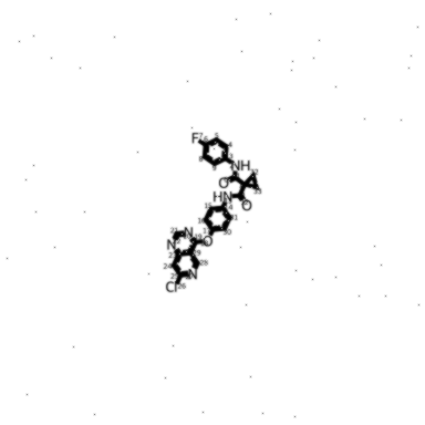 O=C(Nc1ccc(F)cc1)C1(C(=O)Nc2ccc(Oc3ncnc4cc(Cl)ncc34)cc2)CC1